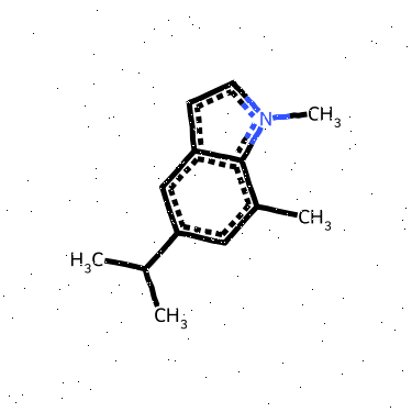 Cc1cc(C(C)C)cc2ccn(C)c12